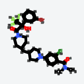 CN(C)C(=O)c1ccc(N2CCC(CC3CCN(C(=O)C(O)(c4cccc(Br)c4)C(F)(F)F)CC3)CC2)cc1Cl